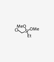 CC[Si](CCl)(OC)OC